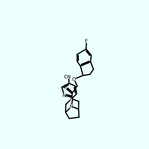 N#Cc1ccc(N2C3CCC2CN(C(=O)COC2CCc4cc(F)ccc42)C3)nc1